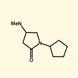 CNC1CC(=O)N(C2CCCC2)C1